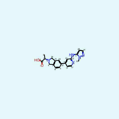 CC(C(=O)O)N1Cc2ccc(-c3ccnc(Nc4ccnn4C)c3)cc2C1